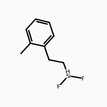 Cc1ccccc1CC[SiH](F)F